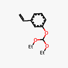 C=Cc1cccc(OC(OCC)OCC)c1